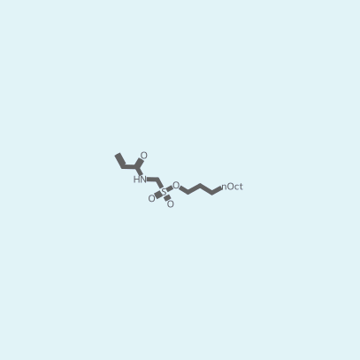 C=CC(=O)NCS(=O)(=O)OCCCCCCCCCCC